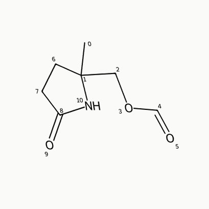 CC1(COC=O)CCC(=O)N1